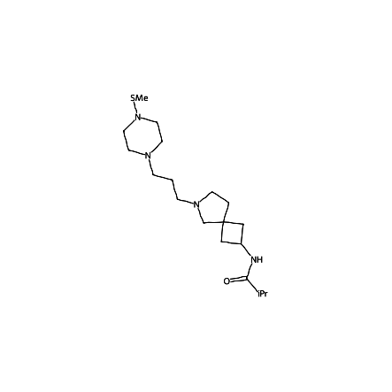 CSN1CCN(CCCN2CCC3(CC(NC(=O)C(C)C)C3)C2)CC1